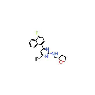 CC(C)c1cc(-c2ccc(F)c3ccccc23)nc(NCC2CCCO2)n1